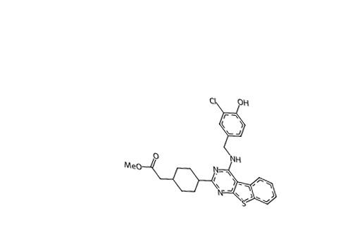 COC(=O)CC1CCC(c2nc(NCc3ccc(O)c(Cl)c3)c3c(n2)sc2ccccc23)CC1